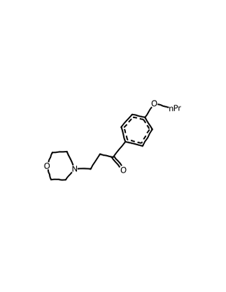 CCCOc1ccc(C(=O)CCN2CCOCC2)cc1